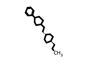 CCC[C@H]1CC[C@H](CCC2CCC(c3ccccc3)CC2)CC1